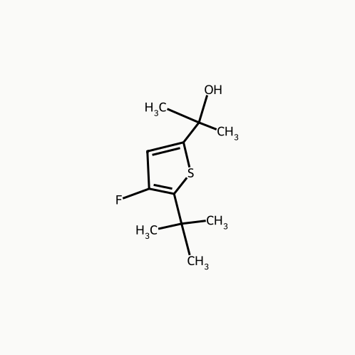 CC(C)(C)c1sc(C(C)(C)O)cc1F